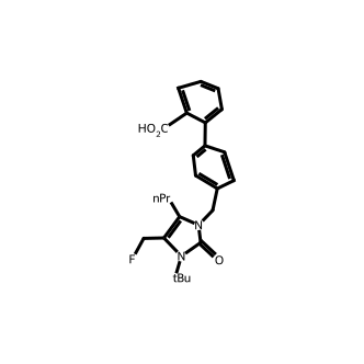 CCCc1c(CF)n(C(C)(C)C)c(=O)n1Cc1ccc(-c2ccccc2C(=O)O)cc1